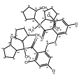 CN1CCCC1[N+](C)(C(=O)c1c(Cl)cc(Cl)cc1SSc1cc(Cl)cc(Cl)c1C(=O)[N+](C)(C1CCCN1C)C1CCCN1C)C1CCCN1C